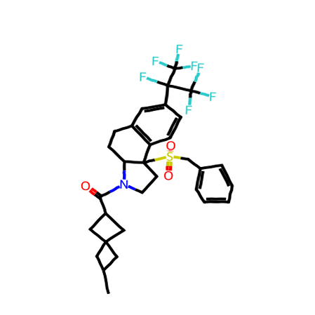 CC1CC2(C1)CC(C(=O)N1CCC3(S(=O)(=O)Cc4ccccc4)c4ccc(C(F)(C(F)(F)F)C(F)(F)F)cc4CCC13)C2